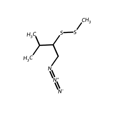 CSSC(CN=[N+]=[N-])C(C)C